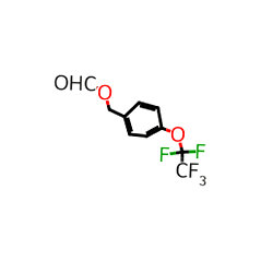 O=COCc1ccc(OC(F)(F)C(F)(F)F)cc1